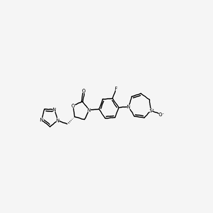 O=C1O[C@@H](Cn2cncn2)CN1c1ccc(N2C=CC[S+]([O-])C=C2)c(F)c1